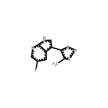 Fc1cnc2[nH]cc(-c3nnsc3C(F)(F)F)c2c1